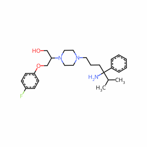 CC(C)C(N)(CCCN1CCN(C(CO)COc2ccc(F)cc2)CC1)c1ccccc1